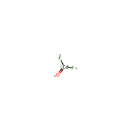 [O]=[Cd]([F])[F]